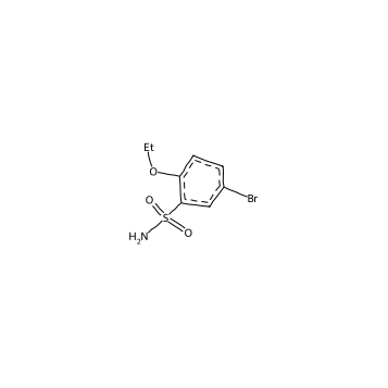 CCOc1ccc(Br)cc1S(N)(=O)=O